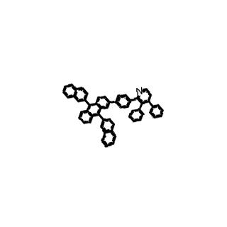 c1ccc(-c2ccnc(-c3ccc(-c4ccc5c(-c6ccc7ccccc7c6)c6ccccc6c(-c6ccc7ccccc7c6)c5c4)cc3)c2-c2ccccc2)cc1